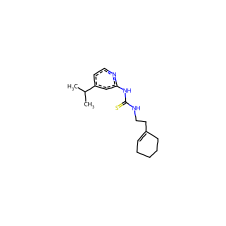 CC(C)c1ccnc(NC(=S)NCCC2=CCCCC2)c1